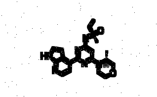 CC[S@](C)(=O)=Nc1cc(N2CCOC[C@H]2C)nc(-c2ccnc3[nH]ccc23)n1